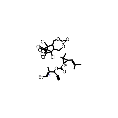 C#CC(OC(=O)[C@@H]1C(C=C(C)C)C1(C)C)/C(C)=C/CC.O=S1OCC2C(CO1)C1(Cl)C(Cl)=C(Cl)C2(Cl)C1(Cl)Cl